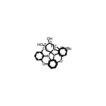 CC(C)(C)OC(=O)N1C[C@H](O)[C@H](O)CC1(N1c2ccccc2Oc2cccc(C(F)(F)F)c21)N1c2ccccc2Oc2cccc(C(F)(F)F)c21